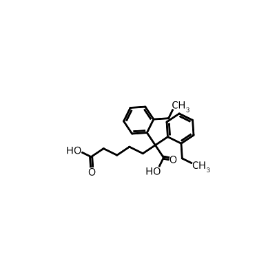 CCc1ccccc1C(CCCCC(=O)O)(C(=O)O)c1ccccc1CC